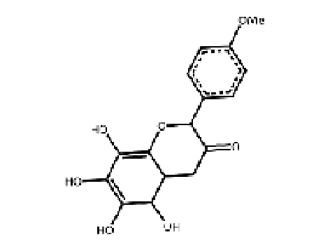 COc1ccc(C2OC3=C(O)C(O)=C(O)C(O)C3CC2=O)cc1